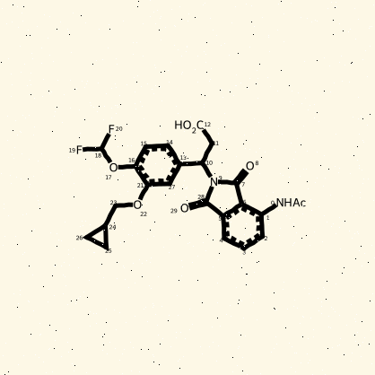 CC(=O)Nc1cccc2c1C(=O)N(C(CC(=O)O)c1ccc(OC(F)F)c(OCC3CC3)c1)C2=O